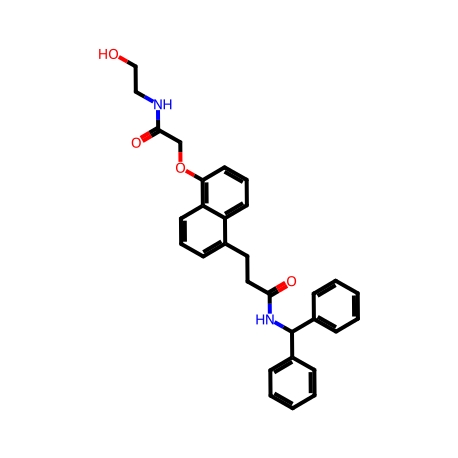 O=C(COc1cccc2c(CCC(=O)NC(c3ccccc3)c3ccccc3)cccc12)NCCO